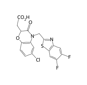 O=C(O)CC1Oc2ccc(Cl)cc2N(Cc2nc3cc(F)c(F)cc3s2)C1=O